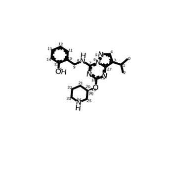 CC(C)c1cnn2c(NCc3ccccc3O)nc(O[C@@H]3CCCNC3)nc12